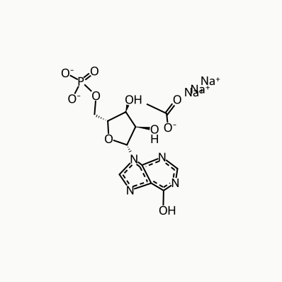 CC(=O)[O-].O=P([O-])([O-])OC[C@H]1O[C@@H](n2cnc3c(O)ncnc32)[C@H](O)[C@@H]1O.[Na+].[Na+].[Na+]